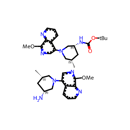 COc1ncc(N2C[C@@H](C)C[C@@H](N)C2)c2cccnc12.COc1ncc(N2C[C@@H](C)C[C@@H](NC(=O)OC(C)(C)C)C2)c2cccnc12